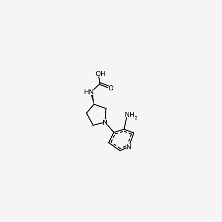 Nc1cnccc1N1CC[C@@H](NC(=O)O)C1